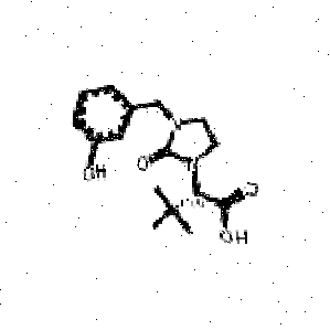 CC(C)(C)[C@@H](C(=O)O)N1CCN(Cc2cccc(O)c2)C1=O